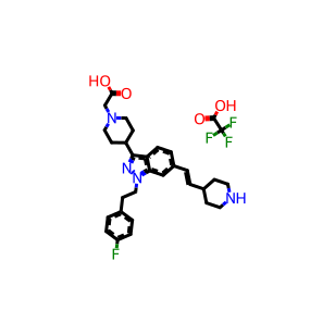 O=C(O)C(F)(F)F.O=C(O)CN1CCC(c2nn(CCc3ccc(F)cc3)c3cc(C=CC4CCNCC4)ccc23)CC1